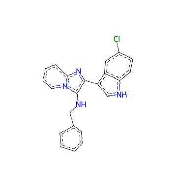 Clc1ccc2[nH]cc(-c3nc4ccccn4c3NCc3ccccc3)c2c1